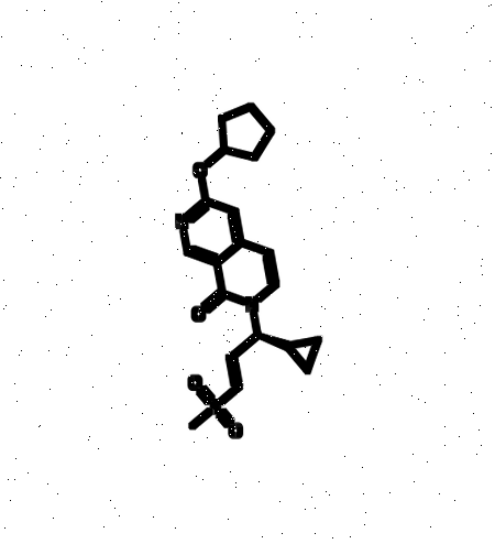 CS(=O)(=O)/C=C/[C@H](C1CC1)n1ccc2cc(OC3CCCC3)ncc2c1=O